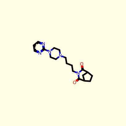 O=C1C2CCC(C2)C(=O)N1CCCCN1CCN(c2ncccn2)CC1